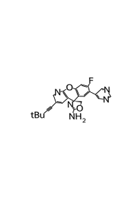 CC(C)(C)C#Cc1cnc2c(c1)[C@]1(COC(N)=N1)c1cc(-c3cncnc3)c(F)cc1O2